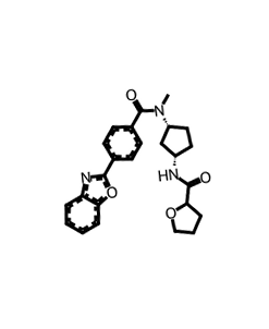 CN(C(=O)c1ccc(-c2nc3ccccc3o2)cc1)[C@@H]1CC[C@H](NC(=O)C2CCCO2)C1